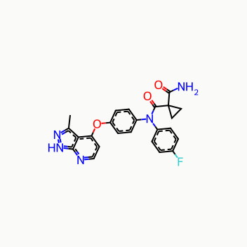 Cc1n[nH]c2nccc(Oc3ccc(N(C(=O)C4(C(N)=O)CC4)c4ccc(F)cc4)cc3)c12